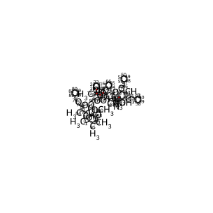 CCC1OC(OC2C(OCC3OC(OC4C(COCc5ccccc5)CC(OC5C(O)C(O)C(OCc6ccccc6)C(C)C5OCc5ccccc5)C(N=[N+]=[N-])C4C)C(OCc4ccccc4)C(C)C3C)OC(COCc3ccccc3)C(C)C2C)C(OC(C)=O)C(C)C1C